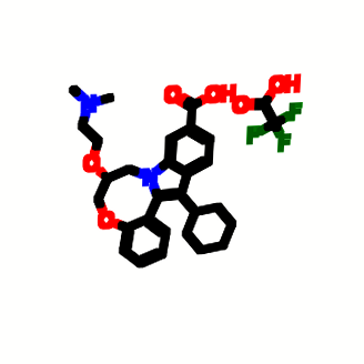 CN(C)CCO[C@@H]1COc2ccccc2-c2c(C3CCCCC3)c3ccc(C(=O)O)cc3n2C1.O=C(O)C(F)(F)F